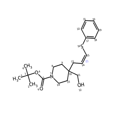 CC(C)(C)OC(=O)N1CCC(CO)(C/C=C\Sc2ccccc2)CC1